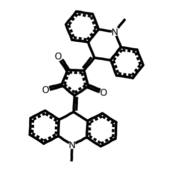 CN1c2ccccc2C(=c2c(=O)c(=O)c(=C3c4ccccc4N(C)c4ccccc43)c2=O)c2ccccc21